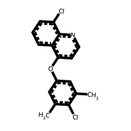 Cc1cc(Oc2ccnc3c(Cl)cccc23)cc(C)c1Cl